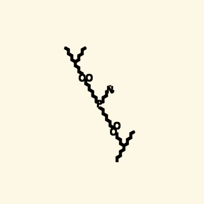 CCCCCC(CCCCC)CCCCOC(=O)CCCCCCCP(CCCCCCCC(=O)OCCCCC(CCCCC)CCCCC)CCCCN(C)C